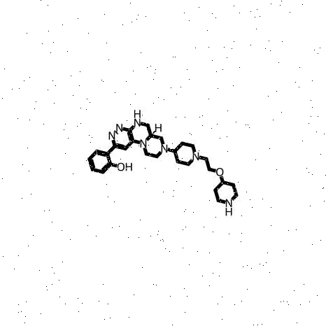 Oc1ccccc1-c1cc2c(nn1)NC[C@H]1CN(C3CCN(CCOC4CCNCC4)CC3)CCN21